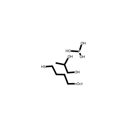 CC(O)CO.CCCCCCCCCCCCS.OP(O)O